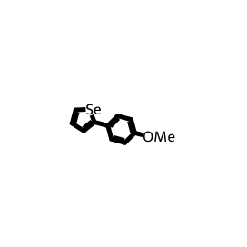 COc1ccc(-c2ccc[se]2)cc1